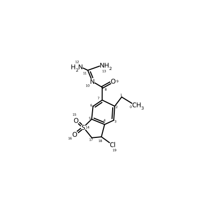 CCc1cc2c(cc1C(=O)N=C(N)N)S(=O)(=O)CC2Cl